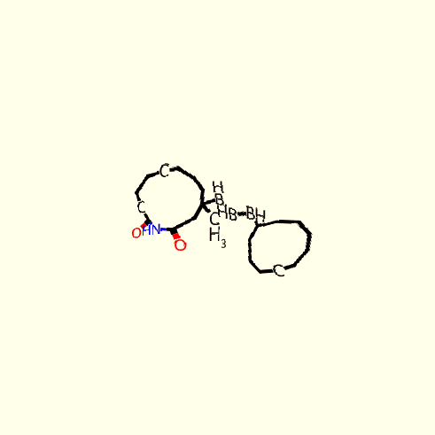 CC1(BBBC2CCCCCCCCC2)CCCCCCCC(=O)NC(=O)C1